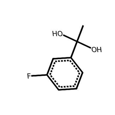 CC(O)(O)c1cccc(F)c1